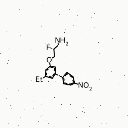 CCc1cc(OC[C@H](F)CN)cc(-c2ccc([N+](=O)[O-])cc2)c1